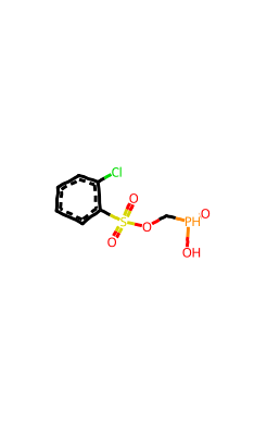 O=[PH](O)COS(=O)(=O)c1ccccc1Cl